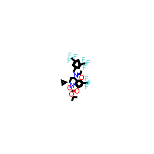 CC(=O)N(Cc1cc(C(F)(F)F)cc(C(F)(F)F)c1)[C@H]1C[C@@H](C2CC2)N(OC(=O)OC(C)C)c2ccc(C(F)(F)F)cc21